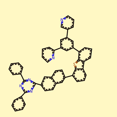 c1ccc(-c2nc(-c3ccccc3)nc(-c3ccc4cc(-c5cccc6c5sc5c(-c7cc(-c8cccnc8)cc(-c8ccccn8)c7)cccc56)ccc4c3)n2)cc1